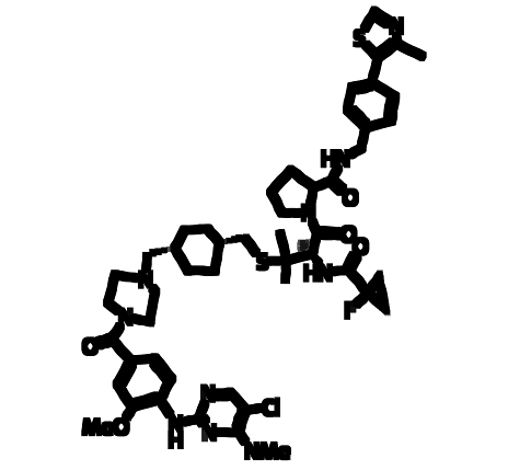 CNc1nc(Nc2ccc(C(=O)N3CCN(C[C@H]4CC[C@@H](CSC(C)(C)[C@H](NC(=O)C5(F)CC5)C(=O)N5CCCC5C(=O)NCc5ccc(-c6scnc6C)cc5)CC4)CC3)cc2OC)ncc1Cl